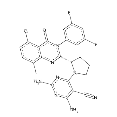 Cc1ccc(Cl)c2c(=O)n(-c3cc(F)cc(F)c3)c([C@@H]3CCCN3c3nc(N)nc(N)c3C#N)nc12